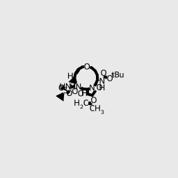 C=C(C)O[C@@H]1C[C@H]2C(=O)N[C@]3(C(=O)NS(=O)(=O)C4CC4)C[C@H]3/C=C\COCCC[C@H](NC(=O)OC(C)(C)C)C(=O)N2C1